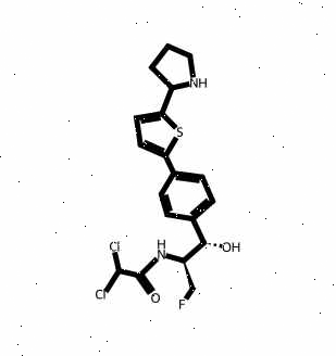 O=C(N[C@H](CF)[C@@H](O)c1ccc(-c2ccc(C3CCCN3)s2)cc1)C(Cl)Cl